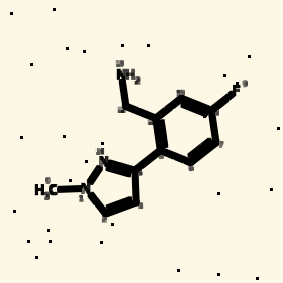 Cn1ccc(-c2ccc(F)cc2CN)n1